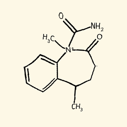 CC1C[CH]C(=O)[N+](C)(C(N)=O)c2ccccc21